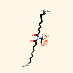 CCCCCCCCCCCCCCCCCC(=O)N(C(=O)CCCCCCCCCCCCCCCCC)C(CO)(C(=O)O)P(=O)(O)O